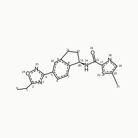 CCc1nc(-c2ccc3c(c2)CC[C@H]3NC(=O)c2ncc(C)s2)no1